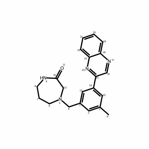 Cc1cc(CN2CCCNC(=O)C2)cc(-c2cnc3ccccc3n2)c1